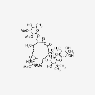 CC[C@H]1OC(=O)C[C@@H](O)[C@H](C)[C@@H](O[C@@H]2O[C@H](C)[C@@H](O[C@H]3C[C@@](C)(O)[C@@H](O)[C@H](C)O3)[C@H](N(C)C)[C@H]2O)[C@@H](CC=O)C[C@@H](C)C(=O)/C=C/C(C)=C/C1CO[C@@H]1O[C@H](C)[C@@H](O)[C@@H](OC)[C@H]1OC.COC(C)OC